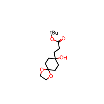 CC(C)(C)OC(=O)CCC1(O)CCC2(CC1)OCCO2